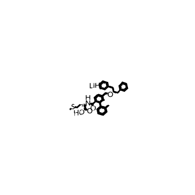 CSCC[C@H](NC(=O)c1ccc(COC(Cc2ccccc2)Cc2ccccc2)cc1-c1ccccc1C)C(=O)O.[LiH]